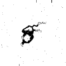 CC(=O)OCCc1ccc2oc(=O)ccc2c1N